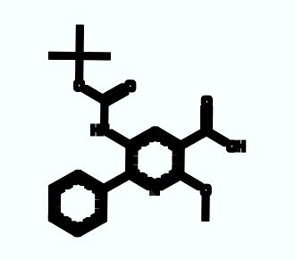 COc1nc(-c2ccccc2)c(NC(=O)OC(C)(C)C)cc1C(=O)O